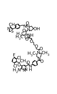 Cc1ncsc1-c1ccc(CNC(=O)[C@@H]2C[C@@H](O)CN2C(=O)C(NC(=O)COCCOCC(=O)N2[C@H](C)CN(C(=O)c3ccc(NC(=O)c4cc(O[C@H](C)c5c(Cl)ccc(F)c5Cl)c(N)nn4)cc3)C[C@@H]2C)C(C)(C)C)cc1